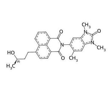 Cc1cc2c(cc1N1C(=O)c3cccc4c(CC[C@@H](C)O)ccc(c34)C1=O)n(C)c(=O)n2C